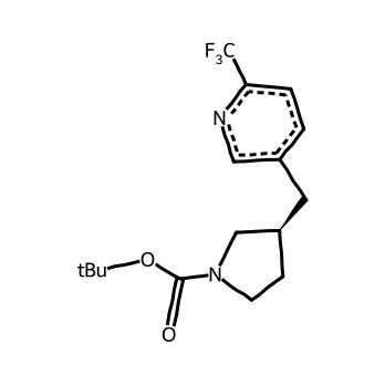 CC(C)(C)OC(=O)N1CC[C@H](Cc2ccc(C(F)(F)F)nc2)C1